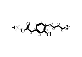 COC(=O)Cc1ccc(SCCCBr)c(Cl)c1